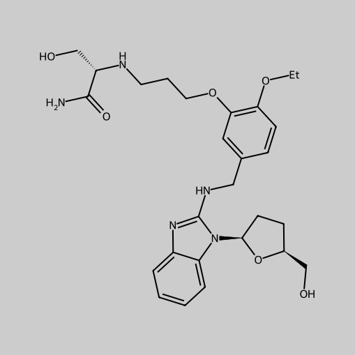 CCOc1ccc(CNc2nc3ccccc3n2[C@H]2CC[C@@H](CO)O2)cc1OCCCN[C@@H](CO)C(N)=O